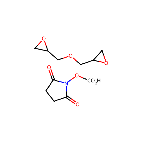 C(OCC1CO1)C1CO1.O=C(O)ON1C(=O)CCC1=O